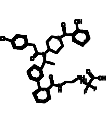 CC(c1cccc(-c2ccccc2C(=O)NCCN)c1)N(C(=O)Cc1ccc(Cl)cc1)C1CCN(C(=O)c2ccccc2O)CC1.O=C(O)C(F)(F)F